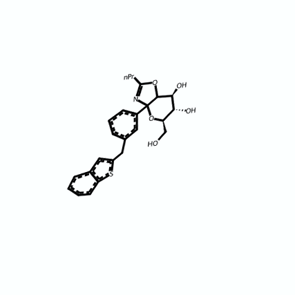 CCCC1=NC2(c3cccc(Cc4cc5ccccc5s4)c3)O[C@H](CO)[C@@H](O)[C@H](O)C2O1